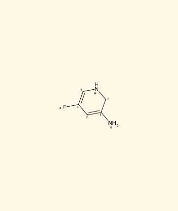 NC1=CC(F)=CNC1